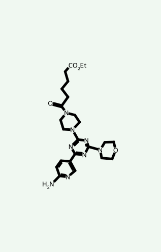 CCOC(=O)CCCCC(=O)N1CCN(c2nc(-c3ccc(N)nc3)nc(N3CCOCC3)n2)CC1